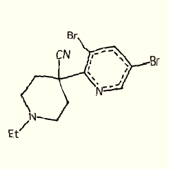 CCN1CCC(C#N)(c2ncc(Br)cc2Br)CC1